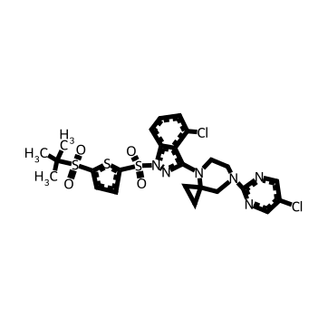 CC(C)(C)S(=O)(=O)c1ccc(S(=O)(=O)n2nc(N3CCN(c4ncc(Cl)cn4)CC34CC4)c3c(Cl)cccc32)s1